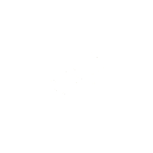 [2H]c1c(OC([2H])([2H])[2H])c(OC([2H])([2H])[2H])c(OC([2H])([2H])[2H])c([2H])c1N([2H])C([2H])([2H])c1c([2H])c([2H])c2nc(C)nc(N)c2c1C([2H])([2H])[2H]